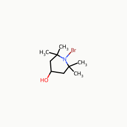 CC1(C)CC(O)CC(C)(C)N1Br